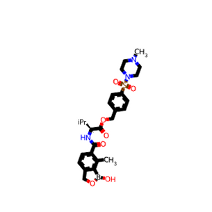 Cc1c(C(=O)N[C@H](C(=O)OCc2ccc(S(=O)(=O)N3CCN(C)CC3)cc2)C(C)C)ccc2c1B(O)OC2